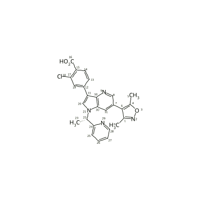 Cc1noc(C)c1-c1cnc2c(-c3ccc(C(=O)O)c(Cl)c3)cn([C@@H](C)c3ccccn3)c2c1